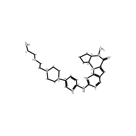 CN1C(=O)c2cc3cnc(Nc4ccc(N5CCN(CCOCCO)CC5)cn4)nc3n2C2CCCC21